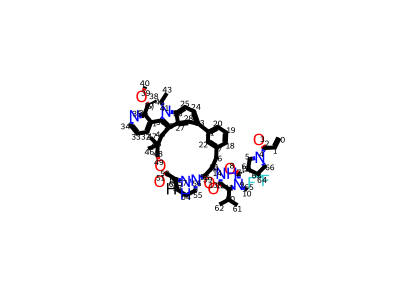 C=CC(=O)N1C[C@@H](C(=O)N(C)C(C(=O)N[C@H]2Cc3cccc(c3)-c3ccc4c(c3)c(c(-c3cccnc3[C@H](C)OC)n4CC)CC(C)(C)COC(=O)[C@@H]3CCCN(N3)C2=O)C(C)C)C(F)(F)C1